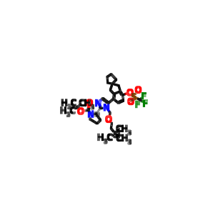 CC(C)(C)OC(=O)N1CCC[C@H]1c1ncc(-c2ccc(OS(=O)(=O)C(F)(F)F)c3c2CC2(CCCC2)C3)n1COCC[Si](C)(C)C